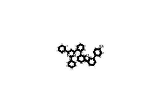 Brc1ccc(-c2cccc3c2oc2c(-c4ccccc4-c4cc(-c5ccccc5)nc(-c5ccccc5)n4)cccc23)cc1